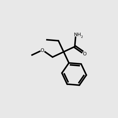 CCC(COC)(C(N)=O)c1ccccc1